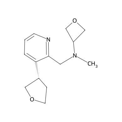 CN(Cc1ncccc1[C@@H]1CCOC1)C1COC1